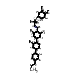 CCCc1ccc(-c2ccc(-c3cc(F)c(/C=C/C(F)(F)Oc4ccc(F)c(F)c4)c(F)c3)c(F)c2)cc1